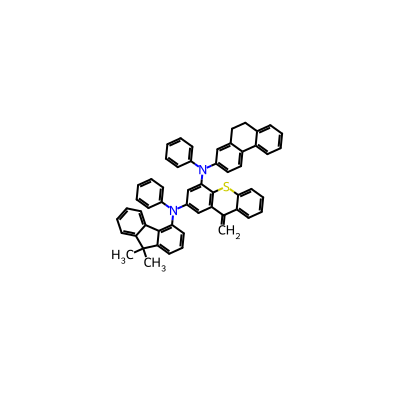 C=C1c2ccccc2Sc2c1cc(N(c1ccccc1)c1cccc3c1-c1ccccc1C3(C)C)cc2N(c1ccccc1)c1ccc2c(c1)CCc1ccccc1-2